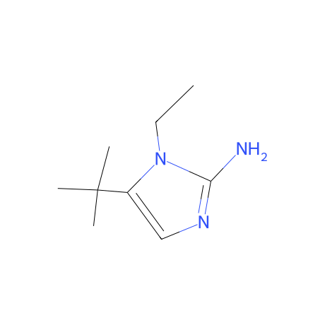 CCn1c(C(C)(C)C)cnc1N